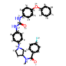 CN(C(=O)c1ccc(F)cc1)C1CCN(c2ccc(NC(=O)Nc3ccc(Oc4ccccc4)cc3)cc2)C1